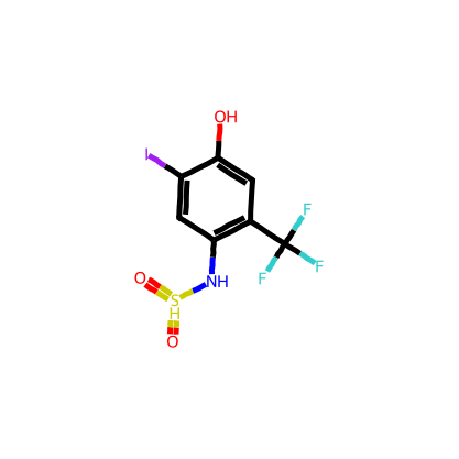 O=[SH](=O)Nc1cc(I)c(O)cc1C(F)(F)F